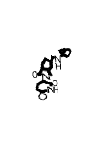 O=C1CCC(N2Cc3cc(CNC4CC5CCC4C5)ccc3C2=O)C(=O)N1